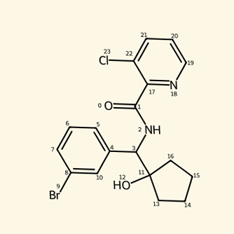 O=C(NC(c1cccc(Br)c1)C1(O)CCCC1)c1ncccc1Cl